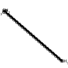 C=C(C)C(=O)OCCCOCCCOCCCOCCCOCCCOCCCOCCCOCCCOCCCOCCCOCCCOCCCOCCCOCCCOCCCOCCCOCCCOCCCOCCCOCCCOC